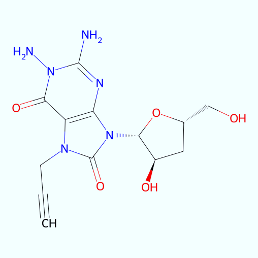 C#CCn1c(=O)n([C@@H]2O[C@H](CO)C[C@H]2O)c2nc(N)n(N)c(=O)c21